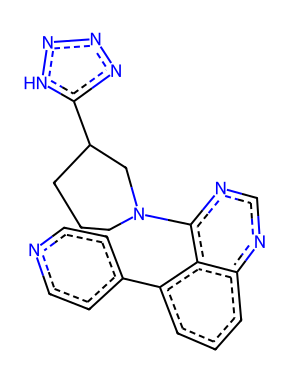 c1cc(-c2ccncc2)c2c(N3CCCC(c4nnn[nH]4)C3)ncnc2c1